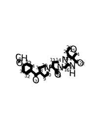 COc1ccc(C(=O)C2CCN([C@H]3CCN(Cc4nc5c(c(=O)[nH]4)COCC5)C3=O)CC2)cc1